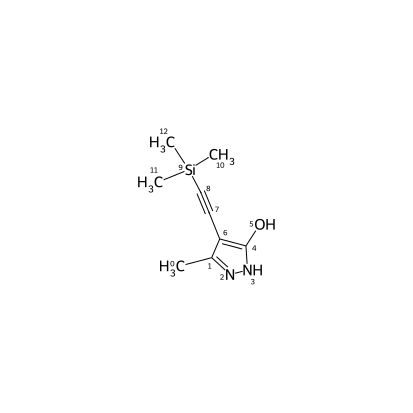 Cc1n[nH]c(O)c1C#C[Si](C)(C)C